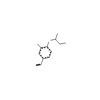 CCC(C)Oc1ccc(C=O)cc1Br